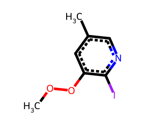 COOc1cc(C)cnc1I